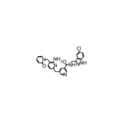 Nc1nc(Cc2cncc(C(=O)NCc3n[nH]c4ccc(Cl)cc34)c2)ccc1Cn1ccccc1=O